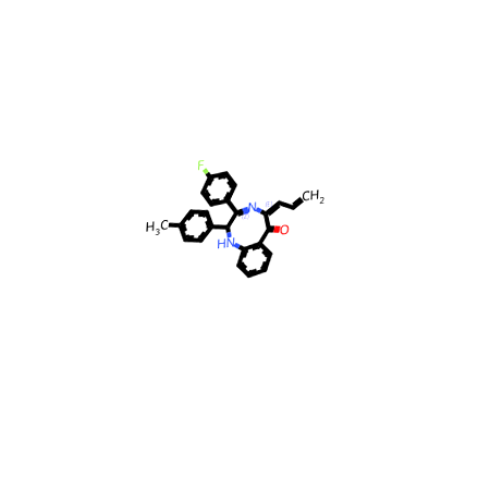 C=C/C=C1/N=C(/c2ccc(F)cc2)C(c2ccc(C)cc2)Nc2ccccc2C1=O